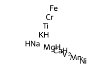 [CaH2].[Cr].[Fe].[KH].[MgH2].[Mn].[NaH].[Ni].[Ti].[V]